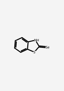 [Se]=c1[nH]c2ccccc2s1